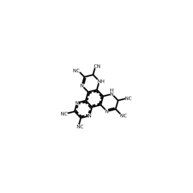 [C-]#[N+]C1=Nc2c(c3c(c4nc(C#N)c([N+]#[C-])nc24)N=C(C#N)C(C#N)N3)NC1[N+]#[C-]